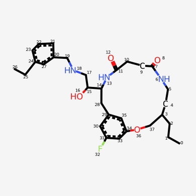 CCCC1CCNC(=O)CCC(=O)NC(C(O)CNCc2cccc(CC)c2)Cc2cc(F)cc(c2)OC1